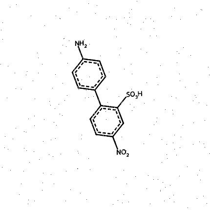 Nc1ccc(-c2ccc([N+](=O)[O-])cc2S(=O)(=O)O)cc1